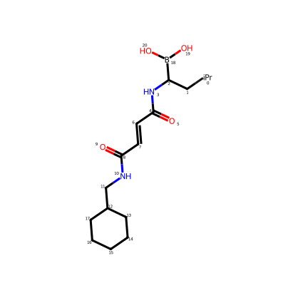 CC(C)CC(NC(=O)/C=C/C(=O)NCC1CCCCC1)B(O)O